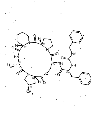 C[C@@H]1C[C@H]2C(=O)OC[C@H](NC(=O)[C@H](Cc3ccccc3)NC(=O)NCc3ccccc3)C(=O)N3CCC[C@H]3C(=O)N3CCCC[C@H]3C(=O)N[C@@H](C)C(=O)N2C1